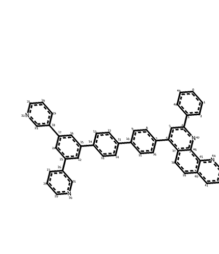 c1ccc(-c2cc(-c3ccc(-c4ccc(-c5cc(-c6cccnc6)cc(-c6cccnc6)c5)cc4)cc3)c3ccc4cccnc4c3n2)cc1